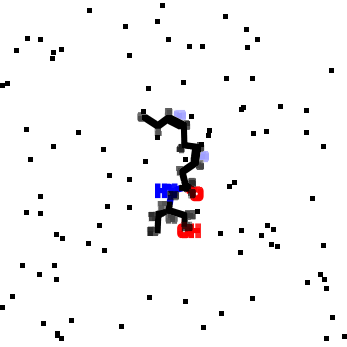 CC/C=C\C/C=C\CC(=O)N[C@H](CC)CO